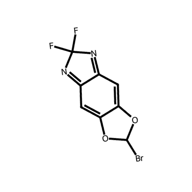 FC1(F)N=c2cc3c(cc2=N1)OC(Br)O3